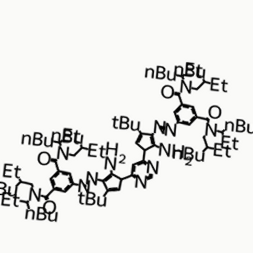 CCCCC(CC)CN(C(=O)c1cc(/N=N/C2=C(N)C(c3cc(C4C=C(C(C)(C)C)C(/N=N/c5cc(C(=O)N(CC(CC)CCCC)C(CC)CCCC)cc(C(=O)N(CC(CC)CCCC)C(CC)CCCC)c5)=C4N)ncn3)C=C2C(C)(C)C)cc(C(=O)N(CC(CC)CCCC)C(CC)CCCC)c1)C(CC)CCCC